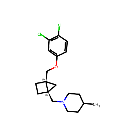 CC1CCN(C[C@@]23CC[C@]2(COc2ccc(Cl)c(Cl)c2)C3)CC1